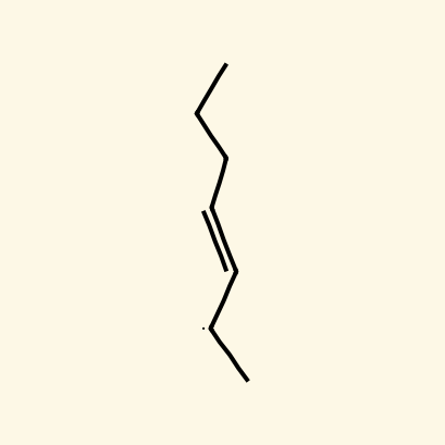 C[CH]C=CCCC